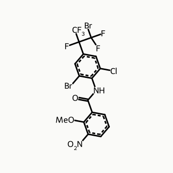 COc1c(C(=O)Nc2c(Cl)cc(C(F)(C(F)(F)F)C(F)(F)Br)cc2Br)cccc1[N+](=O)[O-]